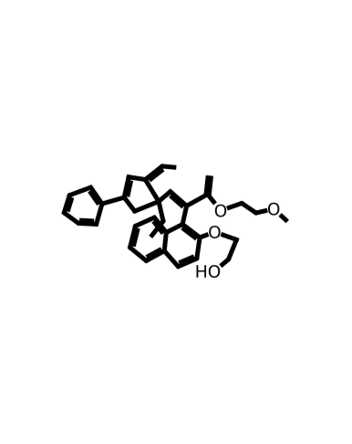 C=C(OCCOC)/C(=C/C1(CC)CC(c2ccccc2)=C/C1=C/C)c1c(OCCO)ccc2ccccc12